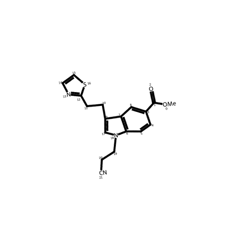 COC(=O)c1ccc2c(c1)c(CCc1nccs1)cn2CCC#N